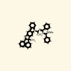 CN/C(=N\C(=N/C(C)n1c2ccccc2c2cc3c(cc21)C(C)(c1ccccc1)C(c1ccccc1)=N3)c1ccccc1)c1ccccc1